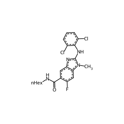 CCCCCCNC(=O)c1cc2nc(Nc3c(Cl)cccc3Cl)n(C)c2cc1F